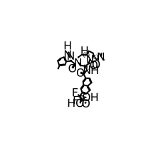 Cc1ccc2[nH]nc(C(=O)N3CC[C@H]4CC[C@@H](C(=O)N(C)C)N4C(=O)[C@@H](NC(=O)c4ccc5ccc(C(F)(F)P(=O)(O)O)cc5c4)C3)c2c1